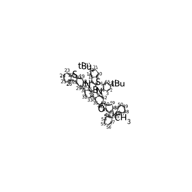 CC(C)(C)c1ccc(N2B3c4sc5ccc(C(C)(C)C)cc5c4-n4c5cc6sc7ccccc7c6cc5c5ccc(c3c54)-c3cc4oc5cc(C(C)(c6ccccc6)c6ccccc6)ccc5c4cc32)cc1